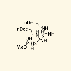 CCCCCCCCCCCCNC(=N)S.CCCCCCCCCCCCNC(=N)S.COP(O)O